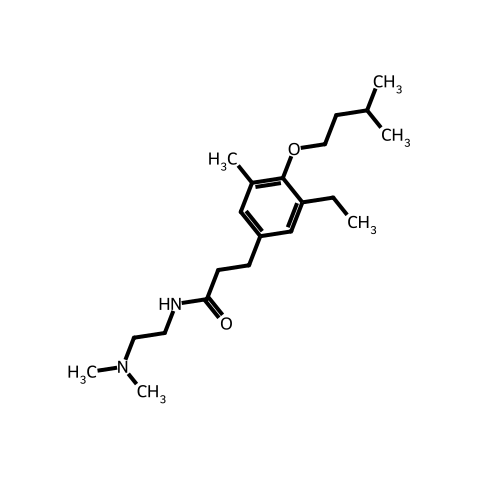 CCc1cc(CCC(=O)NCCN(C)C)cc(C)c1OCCC(C)C